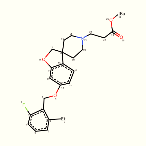 CCc1cccc(F)c1COc1ccc2c(c1)OCC21CCN(CCC(=O)OC(C)(C)C)CC1